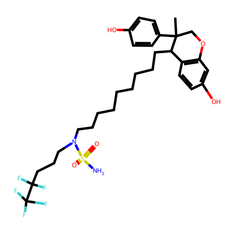 CC1(c2ccc(O)cc2)COc2cc(O)ccc2C1CCCCCCCCCN(CCCC(F)(F)C(F)(F)F)S(N)(=O)=O